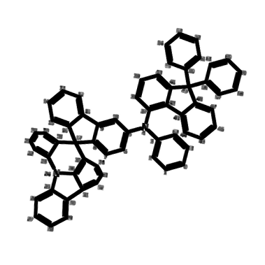 c1ccc(N(c2ccc3c(c2)-c2ccccc2C32c3ccccc3-n3c4ccccc4c4cccc2c43)c2cccc3c2-c2ccccc2C3(c2ccccc2)c2ccccc2)cc1